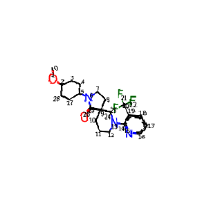 COC1CCC(N2CCC3(CCCN(c4ncccc4C(F)(F)F)C3)C2=O)CC1